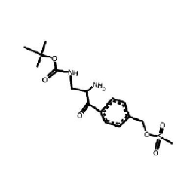 CC(C)(C)OC(=O)NCC(N)C(=O)c1ccc(COS(C)(=O)=O)cc1